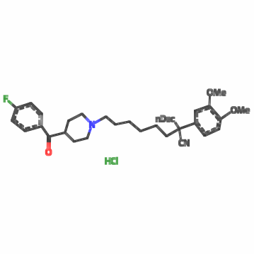 CCCCCCCCCCC(C#N)(CCCCCCN1CCC(C(=O)c2ccc(F)cc2)CC1)c1ccc(OC)c(OC)c1.Cl